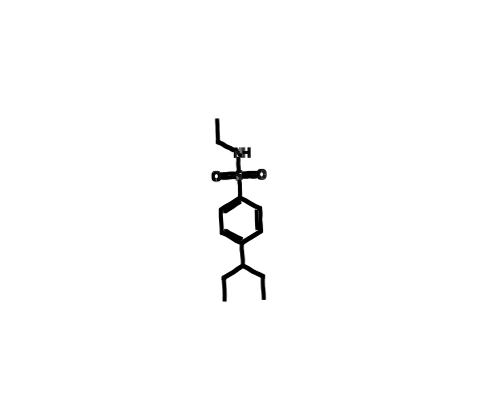 CCNS(=O)(=O)c1ccc(C(CC)CC)cc1